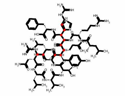 CC(C)C[C@H](NC(=O)[C@H](Cc1ccc(O)cc1)NC(=O)[C@H](Cc1c[nH]cn1)NC(=O)[C@H](CCCNC(=N)N)NC(=O)[C@@H](N)CC(C)C)C(=O)N[C@@H](CC(N)=O)C(=O)N[C@@H](CC(C)C)C(=O)N[C@H](C(=O)N[C@H](C(=O)N[C@@H](CCCNC(=N)N)C(=O)N[C@@H](CCC(N)=O)C(=O)N[C@@H](CCCNC(=N)N)C(=O)N[C@@H](Cc1ccccc1)C(=O)O)[C@@H](C)O)C(C)C